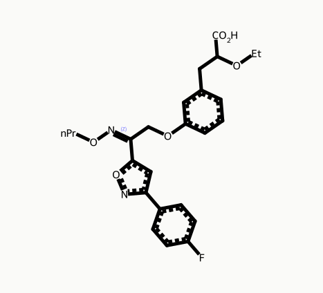 CCCO/N=C(/COc1cccc(CC(OCC)C(=O)O)c1)c1cc(-c2ccc(F)cc2)no1